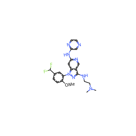 COc1ccc(C(F)F)cc1-n1nc(NCCN(C)C)c2cnc(Nc3cnccn3)cc21